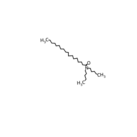 CCCCCCCCCCCCCCCCCC(=O)N(CCCCC)CCCCC